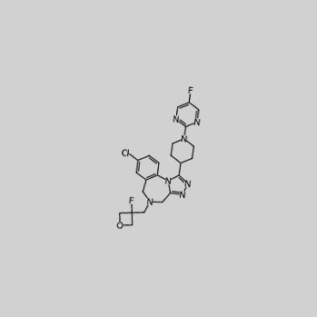 Fc1cnc(N2CCC(c3nnc4n3-c3ccc(Cl)cc3CN(CC3(F)COC3)C4)CC2)nc1